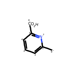 [CH2]c1cccc(C(=O)O)n1